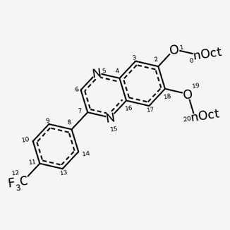 CCCCCCCCOc1cc2ncc(-c3ccc(C(F)(F)F)cc3)nc2cc1OCCCCCCCC